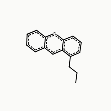 CCCc1cccc2nc3ccccc3cc12